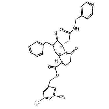 O=C(C[C@H]1C(=O)N(Cc2ccccc2)C[C@@H]2N(C(=O)OCc3cc(C(F)(F)F)cc(C(F)(F)F)c3)CCC(=O)N21)NCc1ccncc1